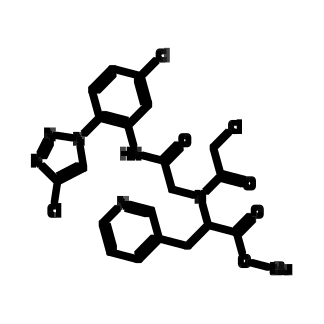 CC(C)(C)OC(=O)C(Cc1cccnc1)N(CC(=O)Nc1cc(Cl)ccc1-n1cc(Cl)nn1)C(=O)CCl